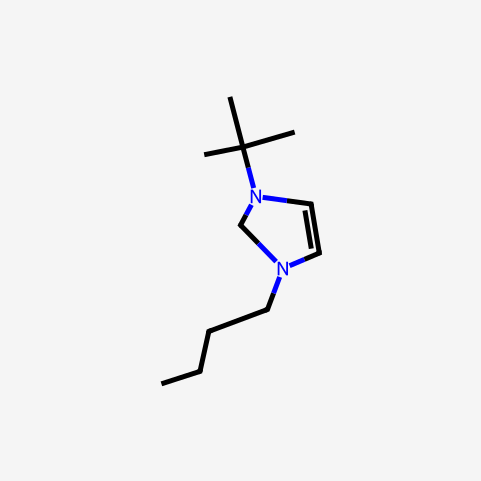 CCCCN1C=CN(C(C)(C)C)C1